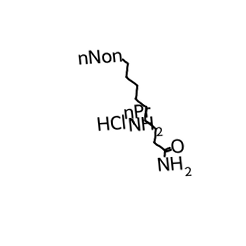 CCCCCCCCCCCCCCCCCC(N)=O.CCCN.Cl